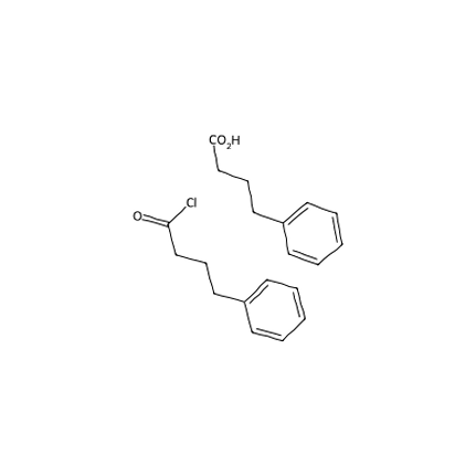 O=C(Cl)CCCc1ccccc1.O=C(O)CCCc1ccccc1